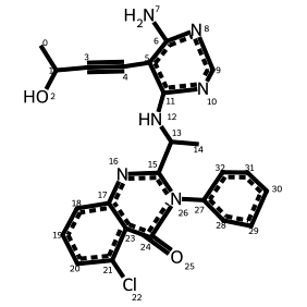 CC(O)C#Cc1c(N)ncnc1NC(C)c1nc2cccc(Cl)c2c(=O)n1-c1ccccc1